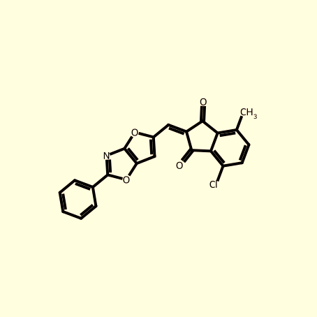 Cc1ccc(Cl)c2c1C(=O)/C(=C/c1cc3oc(-c4ccccc4)nc3o1)C2=O